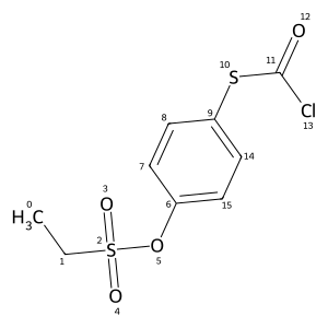 CCS(=O)(=O)Oc1ccc(SC(=O)Cl)cc1